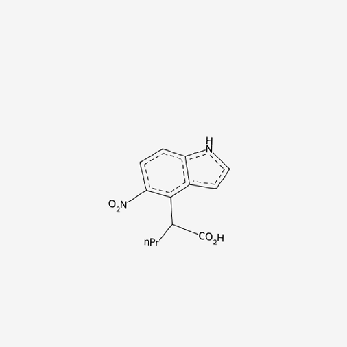 CCCC(C(=O)O)c1c([N+](=O)[O-])ccc2[nH]ccc12